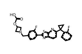 O=C(O)OC1CN(Cc2ccc(-c3nc4ccc(C5(c6ccccc6F)CC5)nc4s3)c(F)c2)C1